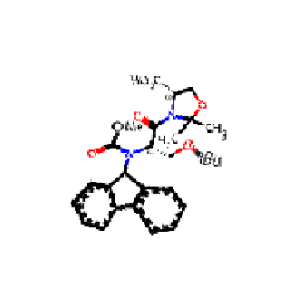 COC(=O)N(C1c2ccccc2-c2ccccc21)[C@@H](COC(C)(C)C)C(=O)N1[C@H](C(=O)O)COC1(C)C